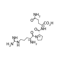 N=C(N)NCCC[C@H](N)C(=O)N1CCC[C@H]1C(=O)N[C@@H](CCC(N)=O)C(=O)O